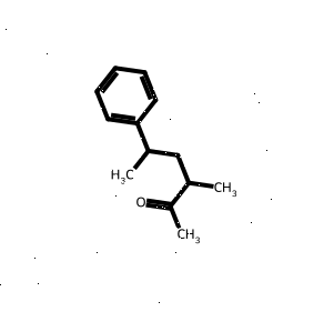 CC(=O)C(C)CC(C)c1ccccc1